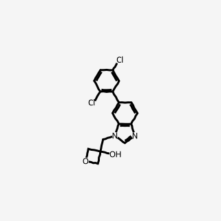 OC1(Cn2cnc3ccc(-c4cc(Cl)ccc4Cl)cc32)COC1